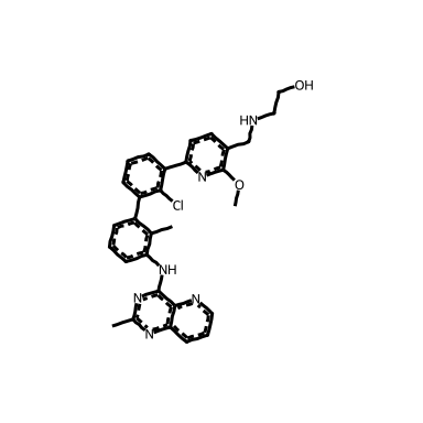 COc1nc(-c2cccc(-c3cccc(Nc4nc(C)nc5cccnc45)c3C)c2Cl)ccc1CNCCO